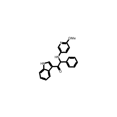 COc1ccc(NC(C(=O)c2c[nH]c3ccccc23)c2ccccc2)cn1